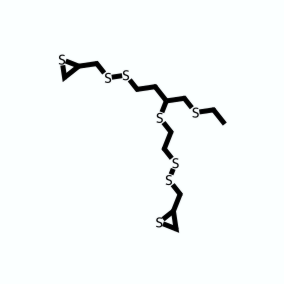 CCSCC(CCSSCC1CS1)SCCSSCC1CS1